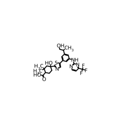 CC(CO)c1cc(Nc2nccc(C(F)(F)F)n2)cc(-c2cnc(C3(O)CCC(C(=O)O)C(C)(C)C3)s2)c1